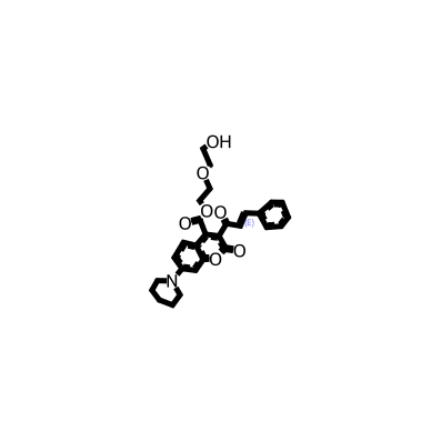 O=C(/C=C/c1ccccc1)c1c(C(=O)OCCOCCO)c2ccc(N3CCCCC3)cc2oc1=O